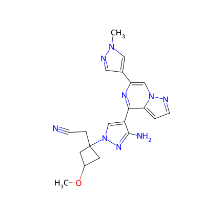 COC1CC(CC#N)(n2cc(-c3nc(-c4cnn(C)c4)cn4nccc34)c(N)n2)C1